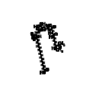 CN[C@@H](CCCCNC(=O)CC[C@H](NC(=O)CC[C@H](NC(=O)CC[C@H](NC(=O)CCCCCCCCCCCCCCCCC(=O)O)C(=O)O)C(O)O)C(=O)O)C(C)=O